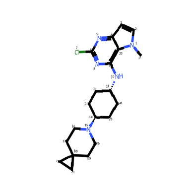 Cn1ccc2nc(Cl)nc(N[C@H]3CC[C@H](N4CCC5(CC4)CC5)CC3)c21